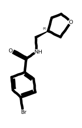 O=C(NC[C@H]1CCOC1)c1ccc(Br)cc1